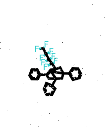 FC(F)C(F)(F)C(F)(F)C(F)(F)C12CC3(c4ccccc4)CC(c4ccccc4)(CC(c4ccccc4)(C3)C1)C2